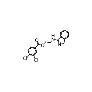 O=C(OCCNC1=NCc2ccccc21)c1ccc(Cl)c(Cl)c1